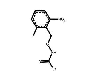 CCC(=O)NOCc1c(I)cccc1[N+](=O)[O-]